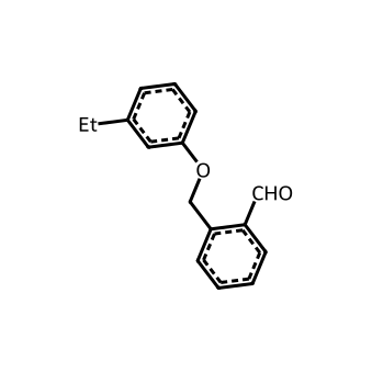 CCc1cccc(OCc2ccccc2C=O)c1